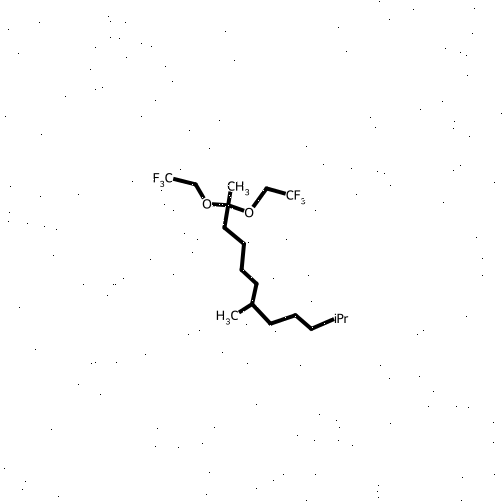 CC(C)CCCC(C)CCCCC(C)(OCC(F)(F)F)OCC(F)(F)F